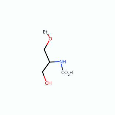 CCOCC(CO)NC(=O)O